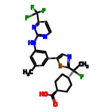 Cc1cc(Nc2nccc(C(F)(F)F)n2)cc(-c2cnc(C(C)(F)[C@H]3CC[C@H](C(=O)O)CC3)s2)c1